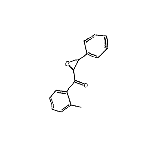 Cc1ccccc1C(=O)C1OC1c1ccccc1